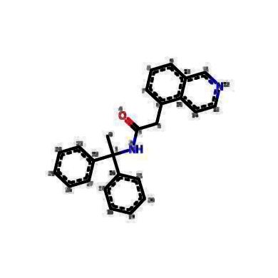 CC(NC(=O)Cc1cccc2cnccc12)(c1ccccc1)c1ccccc1